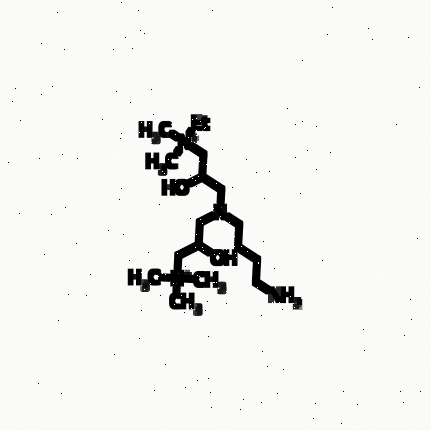 CC[N+](C)(C)CC(O)CN(CCCCN)CC(O)C[N+](C)(C)C